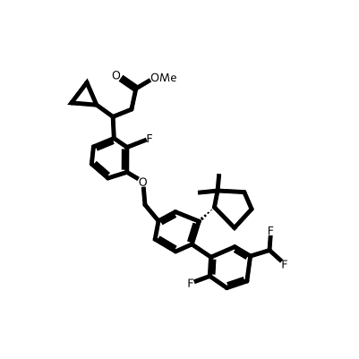 COC(=O)CC(c1cccc(OCc2ccc(-c3cc(C(F)F)ccc3F)c([C@H]3CCCC3(C)C)c2)c1F)C1CC1